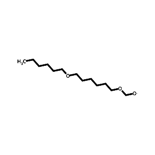 CCCCCCOCCCCCCOC[O]